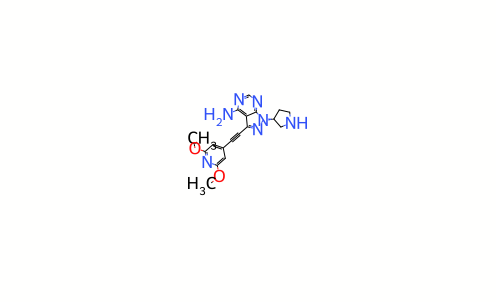 COc1cc(C#Cc2nn([C@H]3CCNC3)c3ncnc(N)c23)cc(OC)n1